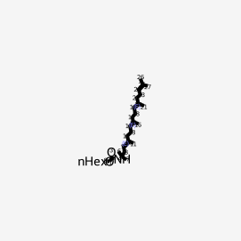 CCCCCCOC(=O)NC(C)(C)C/C=C(\C)CC/C=C(\C)CC/C=C(\C)CCC=C(C)C